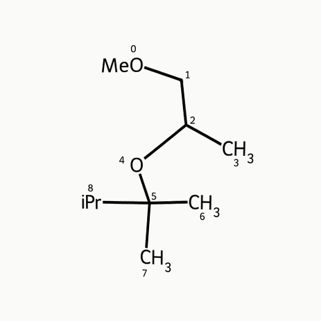 COCC(C)OC(C)(C)C(C)C